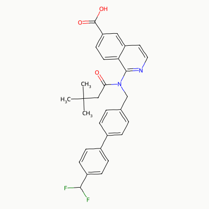 CC(C)(C)CC(=O)N(Cc1ccc(-c2ccc(C(F)F)cc2)cc1)c1nccc2cc(C(=O)O)ccc12